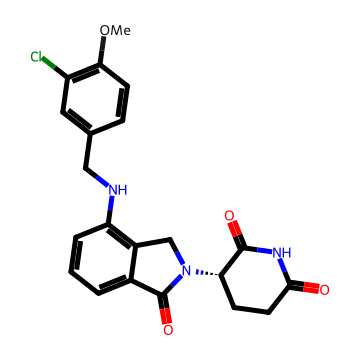 COc1ccc(CNc2cccc3c2CN([C@H]2CCC(=O)NC2=O)C3=O)cc1Cl